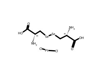 N[C@@H](C[Se][Se]C[C@H](N)C(=O)O)C(=O)O.[Cl][Pt][Cl]